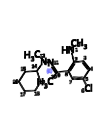 CNc1ccc(Cl)cc1/C(C)=N/N(C)C1CCCCC1